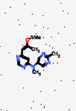 CNO/C(C)=C/c1cc(N(C)c2cnc(C)nc2)ncn1